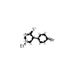 CCn1cnc(=S)c(-c2ccc(Br)cc2)c1